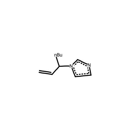 C=CC(CCCC)n1ccnc1